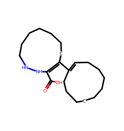 O=C(O)C1=C(C2=CCCCCCCCCC2)CCCCCCCNN1